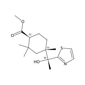 COC(=O)[C@H]1CC[C@](C)([C@@](C)(O)c2nccs2)CC1(C)C